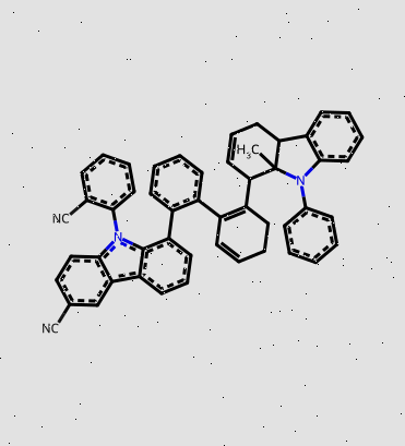 CC12C(C3=C(c4ccccc4-c4cccc5c6cc(C#N)ccc6n(-c6ccccc6C#N)c45)C=CCC3)C=CCC1c1ccccc1N2c1ccccc1